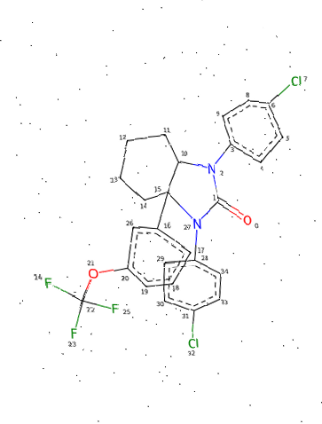 O=C1N(c2ccc(Cl)cc2)C2CCCCC2(c2cccc(OC(F)(F)F)c2)N1c1ccc(Cl)cc1